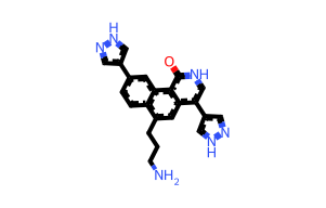 NCCCc1cc2c(-c3cn[nH]c3)c[nH]c(=O)c2c2cc(-c3cn[nH]c3)ccc12